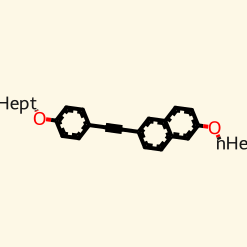 CCCCCCCOc1ccc(C#Cc2ccc3cc(OCCCCCC)ccc3c2)cc1